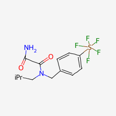 CC(C)CN(Cc1ccc(S(F)(F)(F)(F)F)cc1)C(=O)C(N)=O